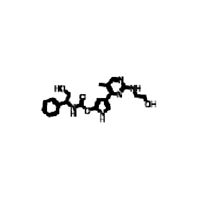 Cc1cnc(NCCO)nc1-c1c[nH]c(OC(=O)NC(CO)c2ccccc2)c1